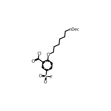 CCCCCCCCCCCCCCCCOc1ccc(S(=O)(=O)F)cc1C(=O)Cl